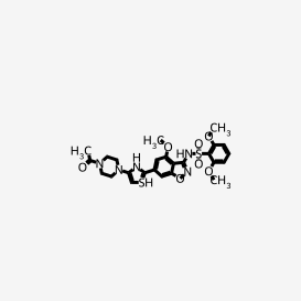 COc1cccc(OC)c1S(=O)(=O)Nc1noc2cc(C3=[SH]C=C(N4CCN(C(C)=O)CC4)N3)cc(OC)c12